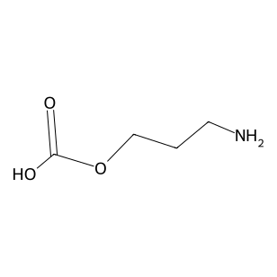 NCCCOC(=O)O